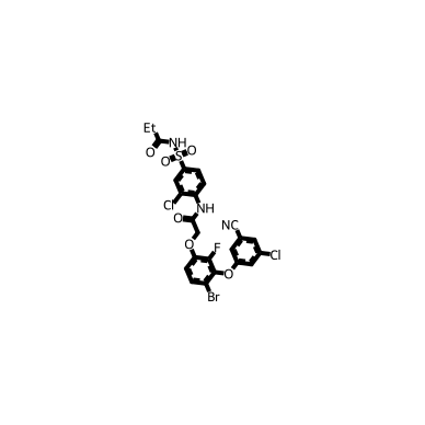 CCC(=O)NS(=O)(=O)c1ccc(NC(=O)COc2ccc(Br)c(Oc3cc(Cl)cc(C#N)c3)c2F)c(Cl)c1